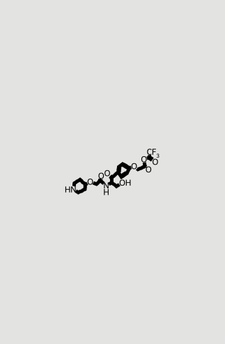 O=C(COC1CCNCC1)NC(CO)C(=O)c1ccc(OCC(=O)OC(=O)C(F)(F)F)cc1